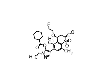 CCn1ncc(-c2cc(C)c3c(c2C)C(OCCF)CC(=C=O)S3(=O)=O)c1OC(=O)C1CCCCC1